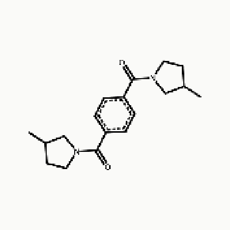 CC1CCN(C(=O)c2ccc(C(=O)N3CCC(C)C3)cc2)C1